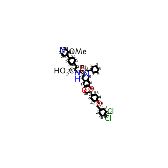 CC[C@@H](c1ccccc1)N1Cc2cc3c(cc2C[C@H]1C(=O)NC(Cc1ccc(-c2ccncc2OC)cc1)C(=O)O)OC[C@H](c1ccc(OCc2ccc(Cl)c(Cl)c2)cc1)O3